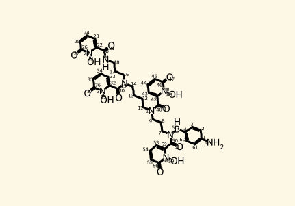 Nc1ccc(BN(CCCN(CCCCN(CCCNC(=O)c2cccc(=O)n2O)C(=O)c2cccc(=O)n2O)C(=O)c2cccc(=O)n2O)C(=O)c2cccc(=O)n2O)cc1